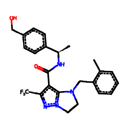 Cc1ccccc1CN1CCn2nc(C(F)(F)F)c(C(=O)N[C@@H](C)c3ccc(CO)cc3)c21